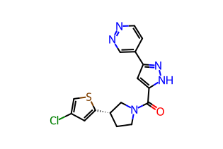 O=C(c1cc(-c2ccnnc2)n[nH]1)N1CC[C@H](c2cc(Cl)cs2)C1